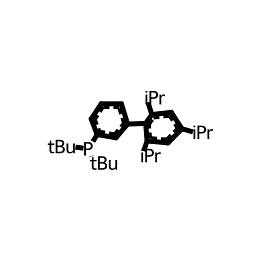 CC(C)c1cc(C(C)C)c(-c2cccc(P(C(C)(C)C)C(C)(C)C)c2)c(C(C)C)c1